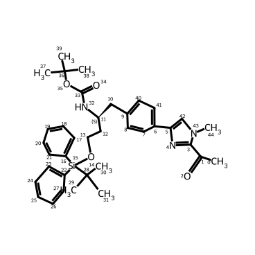 CC(=O)c1nc(-c2ccc(C[C@@H](CCO[Si](c3ccccc3)(c3ccccc3)C(C)(C)C)NC(=O)OC(C)(C)C)cc2)cn1C